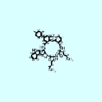 CN1C(=O)[C@H](CCCCN)NC(=O)[C@H](CCCN)NCc2cccnc2Sc2c(Cl)cc(C3=CC=CCC3)cc2CNC(=O)[C@@H]1Cc1c[nH]c2ccccc12